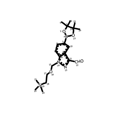 CC1(C)OB(c2ccc3c(c2)c(C=O)nn3COCC[Si](C)(C)C)OC1(C)C